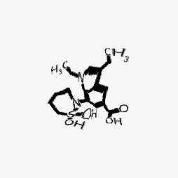 CCc1cn(CC)c2c(N3CCCCS3(O)O)cc(C(=O)O)cc12